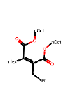 CCCCCCCCOC(=O)C(CCCCCC)=C(CC(C)C)C(=O)OCCCCCCCC